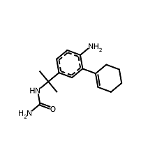 CC(C)(NC(N)=O)c1ccc(N)c(C2=CCCCC2)c1